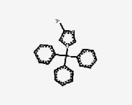 CC(C)c1cn(C(c2ccccc2)(c2ccccc2)c2ccccc2)cn1